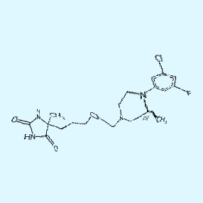 C[C@H]1CN(COCCCC2(C)NC(=O)NC2=O)CCN1c1cc(F)cc(Cl)c1